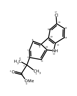 COC(=O)C(C)(C)c1ccc2c(c1)[nH]c1ccc(Cl)cc12